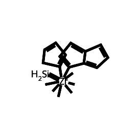 [CH3][Zr]([CH3])([CH3])([CH3])([CH3])([CH3])(=[SiH2])([C]1=CC=CC1)[C]1=CC=C2C=CC=C21